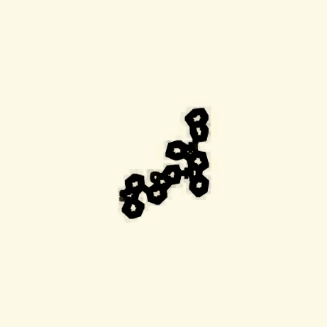 c1ccc2cc(-n3c4ccccc4c4c3ccc3c5ccccc5n(-c5ccc6oc7c(-c8cccc9sc%10ccccc%10c89)cccc7c6c5)c34)ccc2c1